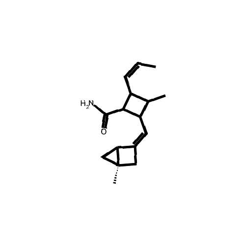 C/C=C\C1C(C)C(/C=C2/C[C@@]3(C)CC23)C1C(N)=O